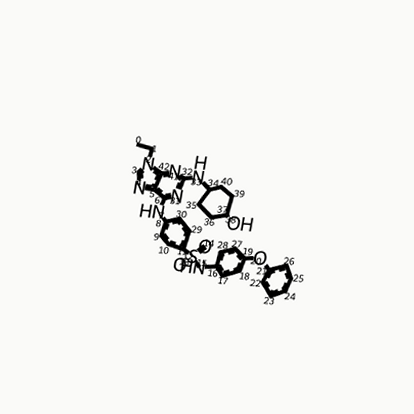 CCn1cnc2c(Nc3ccc(S(=O)(=O)Nc4ccc(Oc5ccccc5)cc4)cc3)nc(NC3CCC(O)CC3)nc21